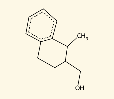 CC1c2ccccc2CCC1CO